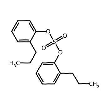 CCCc1ccccc1OS(=O)(=O)Oc1ccccc1CCC